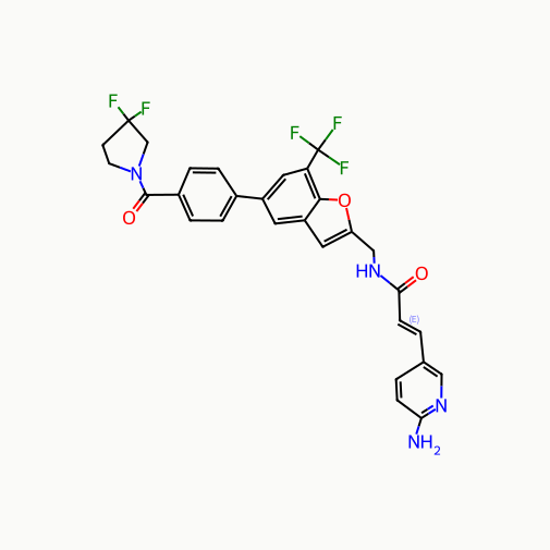 Nc1ccc(/C=C/C(=O)NCc2cc3cc(-c4ccc(C(=O)N5CCC(F)(F)C5)cc4)cc(C(F)(F)F)c3o2)cn1